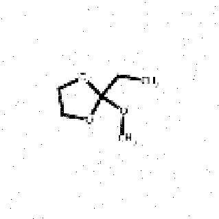 CCC1(OC)OCCO1